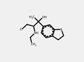 CCNC(CCl)C(C)(O)c1ccc2c(c1)SCC2